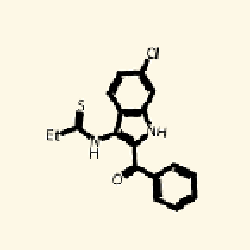 CCC(=S)Nc1c(C(=O)c2ccccc2)[nH]c2cc(Cl)ccc12